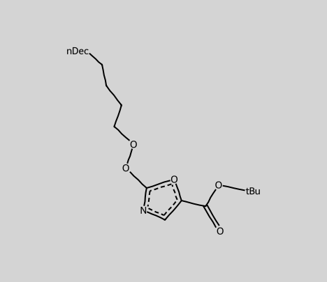 CCCCCCCCCCCCCCOOc1ncc(C(=O)OC(C)(C)C)o1